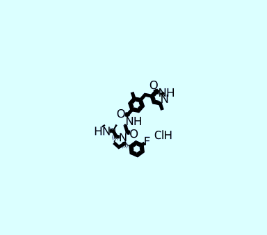 CN[C@@H](C)[C@H]1CC[C@@H](c2cccc(F)c2)N1C(=O)CNC(=O)c1ccc(Cc2cc(C)n[nH]c2=O)c(C)c1.Cl